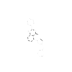 O=c1nc(N2CCNCC2)[nH]c2cccc(C3C=CC(OC4CCCCO4)C3)c12